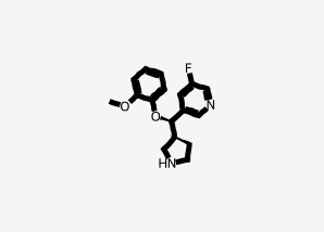 COc1ccccc1O[C@@H](c1cncc(F)c1)[C@H]1CCNC1